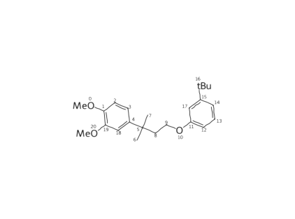 COc1ccc(C(C)(C)CCOc2cccc(C(C)(C)C)c2)cc1OC